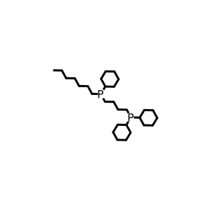 CCCCCCCP(CCCCP(C1CCCCC1)C1CCCCC1)C1CCCCC1